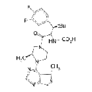 C[C@@H]1SCc2ncnc(N3CCN(C(=O)C(NC(=O)O)[C@@H](c4ccc(F)c(F)c4)C(C)(C)C)C[C@@H]3C)c21